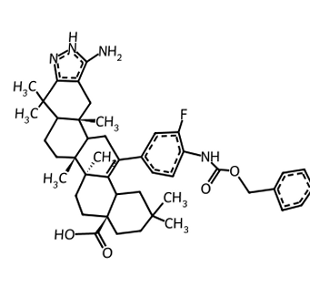 CC1(C)CC[C@]2(C(=O)O)CC[C@]3(C)C(=C(c4ccc(NC(=O)OCc5ccccc5)c(F)c4)CC4[C@@]5(C)Cc6c(n[nH]c6N)C(C)(C)C5CC[C@]43C)C2C1